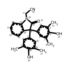 Cc1cc(C2(c3cc(C)c(O)c(C)c3)C(=O)N(CC#N)c3ccccc32)cc(C)c1O